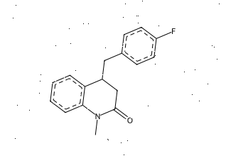 CN1C(=O)CC(Cc2ccc(F)cc2)c2ccccc21